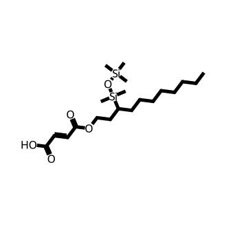 CCCCCCCCC(CCOC(=O)C=CC(=O)O)[Si](C)(C)O[Si](C)(C)C